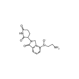 NCC[S+]([O-])c1cccc2c1CN(C1CCC(=O)NC1=O)C2=O